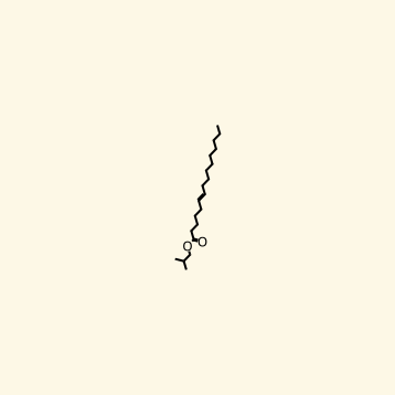 CCCCCCCCCC=CCCCCC(=O)OCC(C)C